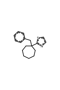 c1ccc(CC2(c3nccs3)CCCCCC2)cc1